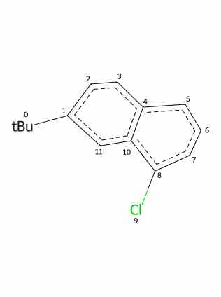 CC(C)(C)c1ccc2cccc(Cl)c2c1